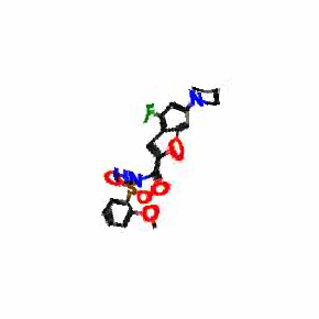 COc1ccccc1S(=O)(=O)NC(=O)c1cc2c(F)cc(N3CCC3)cc2o1